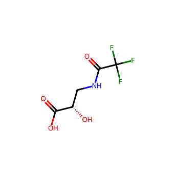 O=C(O)[C@@H](O)CNC(=O)C(F)(F)F